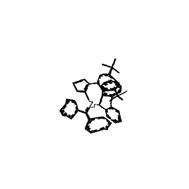 CC(C)(C)c1cc(C2=[C]([Zr](=[C](c3ccccc3)c3ccccc3)[CH]3c4ccccc4-c4ccccc43)CC=C2)cc(C(C)(C)C)c1